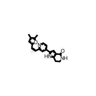 Cc1cc(/C=C\c2cc(-c3cc4c([nH]3)CCNC4=O)ccn2)oc1C